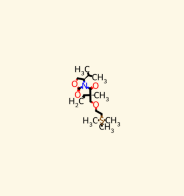 C=C[C@](C)(COCCS(C)(C)C)C(=O)N1C(=O)OC[C@H]1C(C)C